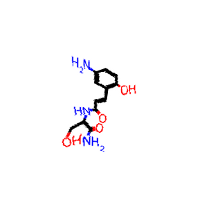 NC(=O)C(CO)NC(=O)/C=C/c1cc(N)ccc1O